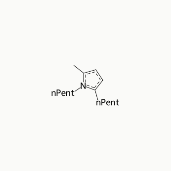 CCCCCc1ccc(C)n1CCCCC